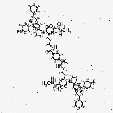 CN[C@@H](C)C(=O)N[C@@H](CCCNC(=O)c1ccc(C(=O)NCCC[C@H](NC(=O)[C@H](C)NC)C(=O)N2CCC[C@H]2CN(CCc2ccccc2)S(=O)(=O)c2ccc(F)cc2)cc1)C(=O)N1CCC[C@H]1CN(CCc1ccccc1)S(=O)(=O)c1ccc(F)cc1